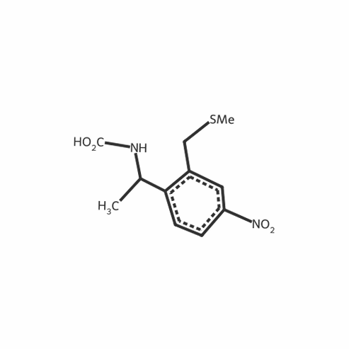 CSCc1cc([N+](=O)[O-])ccc1C(C)NC(=O)O